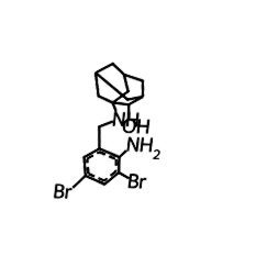 Nc1c(Br)cc(Br)cc1CNC12CC3CC(CC(C3)C1O)C2